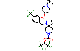 CN1CCC(Oc2cc(C(F)(F)F)ccc2CN2CCCC23CCN(C(=O)OC(C(F)(F)F)C(F)(F)F)CC3)CC1